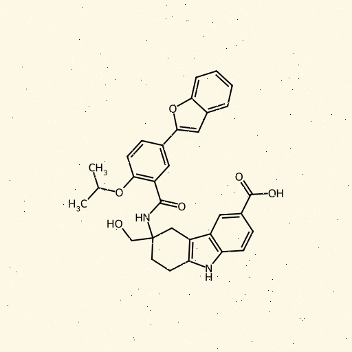 CC(C)Oc1ccc(-c2cc3ccccc3o2)cc1C(=O)NC1(CO)CCc2[nH]c3ccc(C(=O)O)cc3c2C1